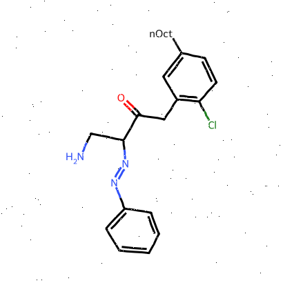 CCCCCCCCc1ccc(Cl)c(CC(=O)C(CN)N=Nc2ccccc2)c1